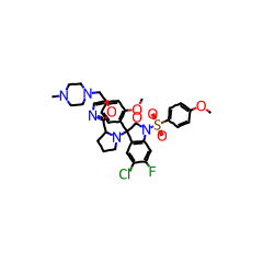 COc1ccc(S(=O)(=O)N2C(=O)C(c3ccc(CN4CCN(C)CC4)cc3OC)(N3CCCC3c3ncco3)c3cc(Cl)c(F)cc32)cc1